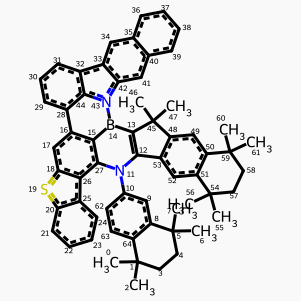 CC1(C)CCC(C)(C)c2cc(N3C4=C(B5c6c(cc7sc8ccccc8c7c63)-c3cccc6c7cc8ccccc8cc7n5c36)C(C)(C)c3cc5c(cc34)C(C)(C)CCC5(C)C)ccc21